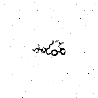 CCCCc1nc(C(CCC)(OC)OC)nn1Cc1ccc(-c2ccncc2OC(=O)O)cc1